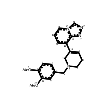 COc1ccc(CN2CCC=C(c3cccn4cnnc34)C2)cc1OC